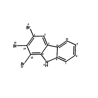 Brc1cc2c([nH]c3ccccc32)c(Br)c1Br